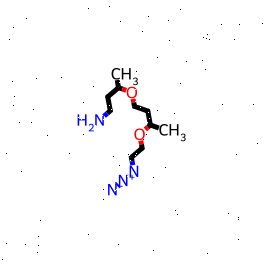 CC(CCN)OCCC(C)OCCN=[N+]=[N-]